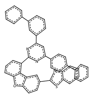 c1ccc(-c2ccc(-c3cc(-c4cccc(-c5ccccc5)c4)nc(-c4cccc5oc6ccc(-c7nc8ccccc8s7)cc6c45)n3)cc2)cc1